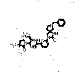 CN/C=C(/NC(=O)c1cccc(N2CC3(CCN(Cc4ccccc4)C3)NC2=O)n1)C(=N)N1CCC(C)(C)C1=O